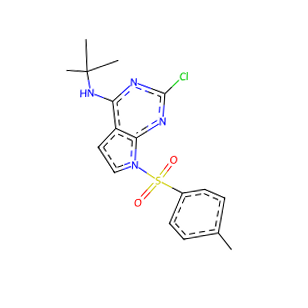 Cc1ccc(S(=O)(=O)n2ccc3c(NC(C)(C)C)nc(Cl)nc32)cc1